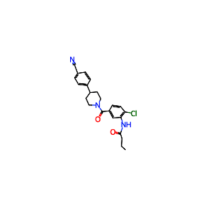 CCCC(=O)Nc1cc(C(=O)N2CCC(c3ccc(C#N)cc3)CC2)ccc1Cl